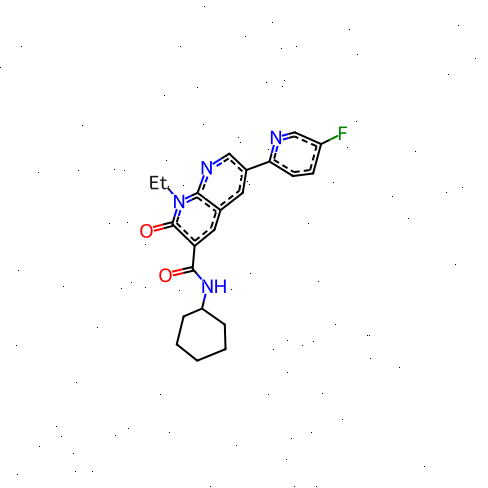 CCn1c(=O)c(C(=O)NC2CCCCC2)cc2cc(-c3ccc(F)cn3)cnc21